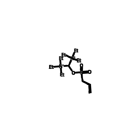 C=CCS(=O)(=O)OC([N+](CC)(CC)CC)[N+](CC)(CC)CC